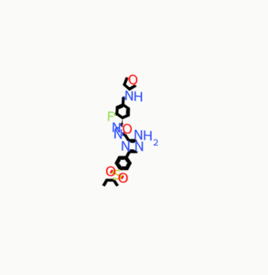 CCC(C)S(=O)(=O)c1ccc(-c2cnc(N)c(-c3nnc([C@H]4C=CC(CN[C@@H]5CCOC5)=CC4F)o3)n2)cc1